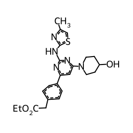 CCOC(=O)Cc1ccc(-c2cc(N3CCC(O)CC3)nc(Nc3nc(C)cs3)n2)cc1